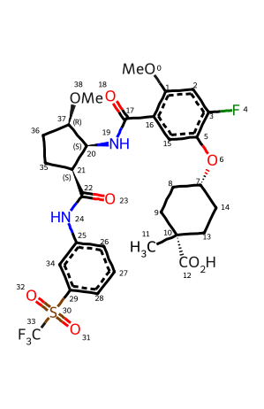 COc1cc(F)c(O[C@H]2CC[C@@](C)(C(=O)O)CC2)cc1C(=O)N[C@H]1[C@@H](C(=O)Nc2cccc(S(=O)(=O)C(F)(F)F)c2)CC[C@H]1OC